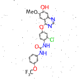 COc1cc2c(Oc3ccc(NC(=O)Nc4cccc(OC(F)(F)F)c4)c(Cl)c3)ncnc2cc1O